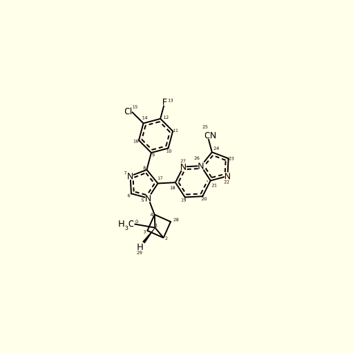 C[C@H]1C2CC1(n1cnc(-c3ccc(F)c(Cl)c3)c1-c1ccc3ncc(C#N)n3n1)C2